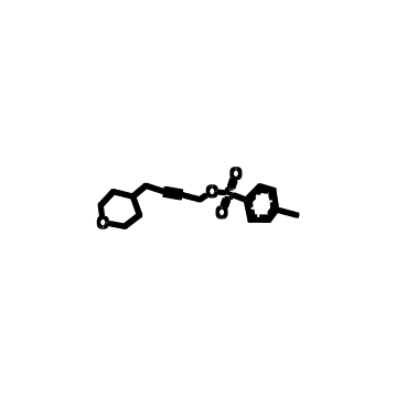 Cc1ccc(S(=O)(=O)OCC#CCC2CCOCC2)cc1